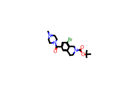 CN1CCN(C(=O)c2cc(Br)c3c(c2)CCN(C(=O)OC(C)(C)C)C3)CC1